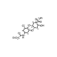 CCOC(=O)C(=O)Nc1cc(Cl)c(Oc2ccc(O)c(S(=O)(=O)C(C)C)c2)c(Cl)c1